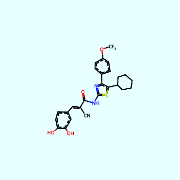 N#C/C(=C\c1ccc(O)c(O)c1)C(=O)Nc1nc(-c2ccc(OC(F)(F)F)cc2)c(C2CCCCC2)s1